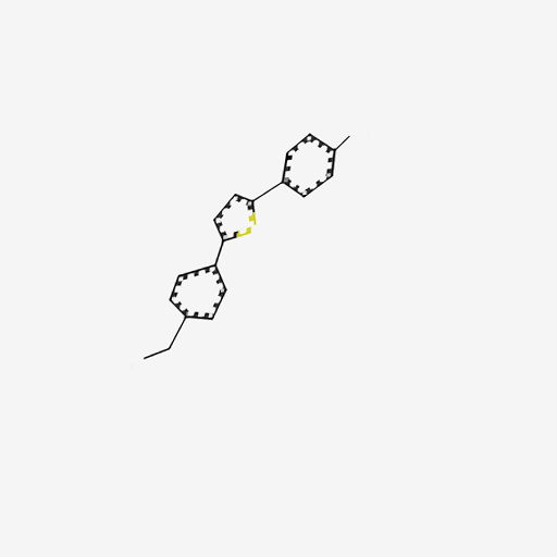 CCc1ccc(-c2ccc(-c3ccc(C)cc3)s2)cc1